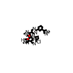 Cn1cc(-c2cccc(-c3ncc(-c4ccn(C)n4)c(N(C4CCC4)C4(c5nc(Cl)ncc5-c5ccn(C)n5)CCC4N)n3)c2)cn1